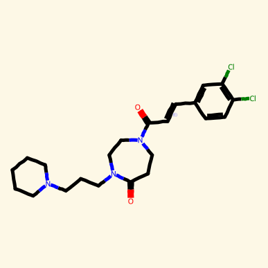 O=C(/C=C/c1ccc(Cl)c(Cl)c1)N1CCC(=O)N(CCCN2CCCCC2)CC1